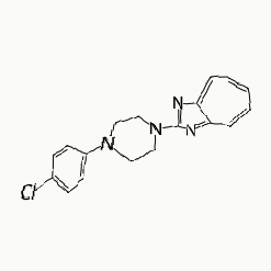 Clc1ccc(N2CCN(c3nc4cccccc-4n3)CC2)cc1